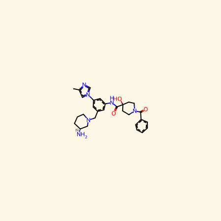 Cc1cn(-c2cc(CN3CCC[C@H](N)C3)cc(NC(=O)C3(O)CCN(C(=O)c4ccccc4)CC3)c2)cn1